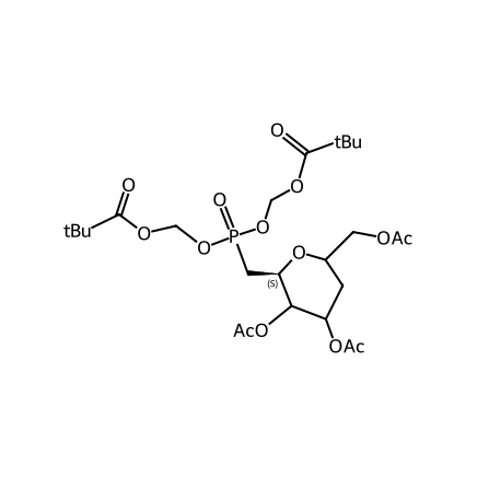 CC(=O)OCC1CC(OC(C)=O)C(OC(C)=O)[C@@H](CP(=O)(OCOC(=O)C(C)(C)C)OCOC(=O)C(C)(C)C)O1